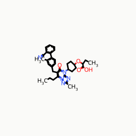 CCCc1c(Cc2ccc(-c3ccccc3C#N)c(C)c2)c(=O)n(C2CCC(OC(CC)C(=O)O)CC2)c2nc(C)nn12